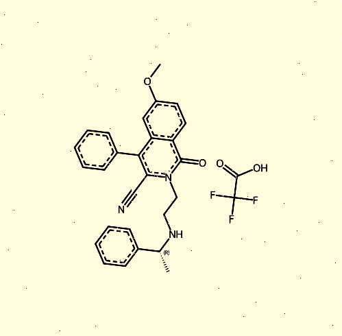 COc1ccc2c(=O)n(CCN[C@H](C)c3ccccc3)c(C#N)c(-c3ccccc3)c2c1.O=C(O)C(F)(F)F